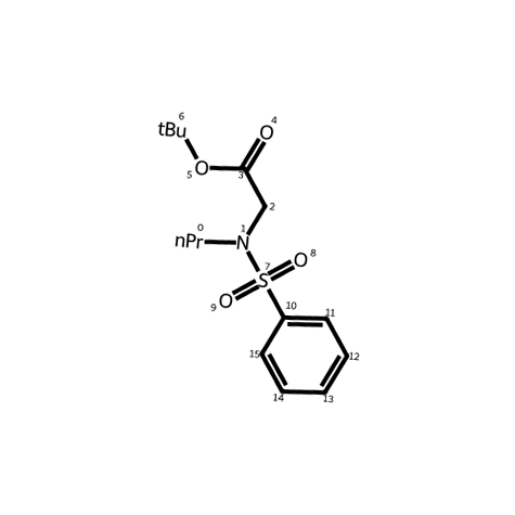 CCCN(CC(=O)OC(C)(C)C)S(=O)(=O)c1ccccc1